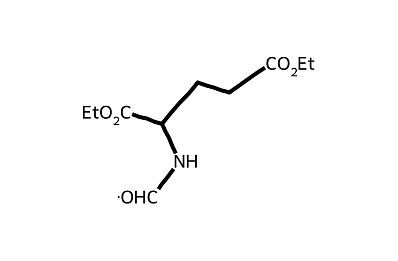 CCOC(=O)CCC(N[C]=O)C(=O)OCC